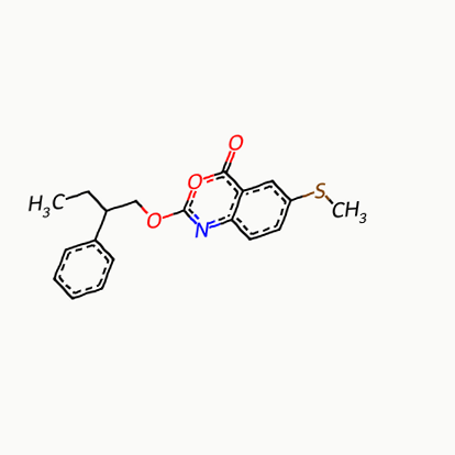 CCC(COc1nc2ccc(SC)cc2c(=O)o1)c1ccccc1